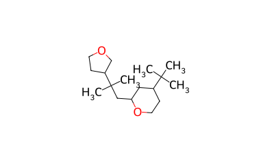 CC(C)(C)C1CCOC(CC(C)(C)C2CCOC2)C1